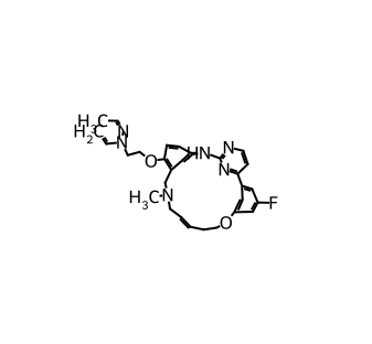 C=CN(CCOc1ccc2cc1CN(C)C/C=C/CCOc1cc(F)cc(c1)-c1ccnc(n1)N2)/N=C\C